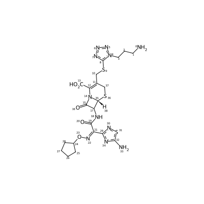 NCCCn1nnnc1SCC1=C(C(=O)O)N2C(=O)C(NC(=O)/C(=N\OC3CCCC3)c3nsc(N)n3)[C@H]2SC1